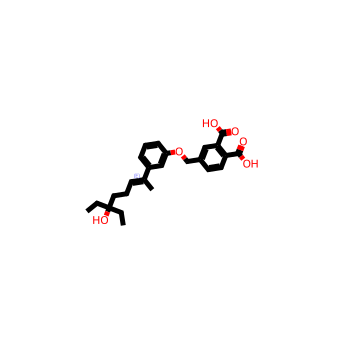 CCC(O)(CC)CC/C=C(\C)c1cccc(OCc2ccc(C(=O)O)c(C(=O)O)c2)c1